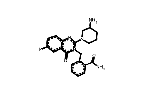 NC(=O)c1ccccc1Cn1c(N2CCCC(N)C2)nc2ccc(F)cc2c1=O